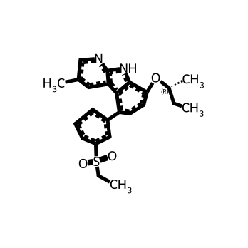 CC[C@@H](C)Oc1ccc(-c2cccc(S(=O)(=O)CC)c2)c2c1[nH]c1ncc(C)cc12